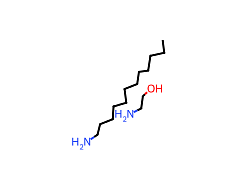 CCCCCCCCCCCCN.NCCO